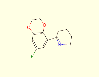 Fc1cc2c(c(C3=NCCCC3)c1)OCCO2